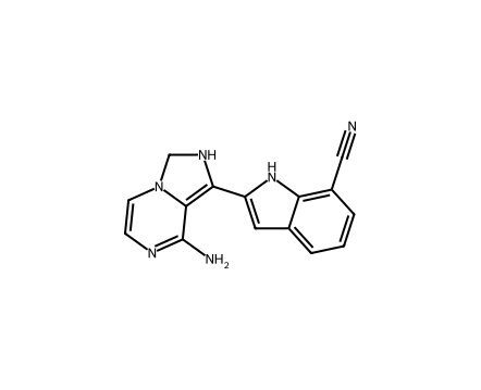 N#Cc1cccc2cc(C3=C4C(N)=NC=CN4CN3)[nH]c12